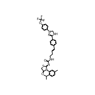 Cc1ccc(C(C)C)c(N2C(=O)CS/C2=N\C(=O)NCC/C=C/c2ccc(C3=NN(c4ccc(OC(F)(F)F)cc4)CN3)cc2)c1